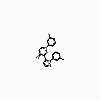 Cc1cccc(-n2ccc(=O)c(-c3ccnn3-c3cccc(C)c3)n2)c1